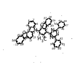 Cc1cc(-n2c3ccccc3c3c4oc5ccccc5c4ccc32)c2oc3ccccc3c2c1-c1nc(-c2ccccc2)nc(-c2ccccc2)n1